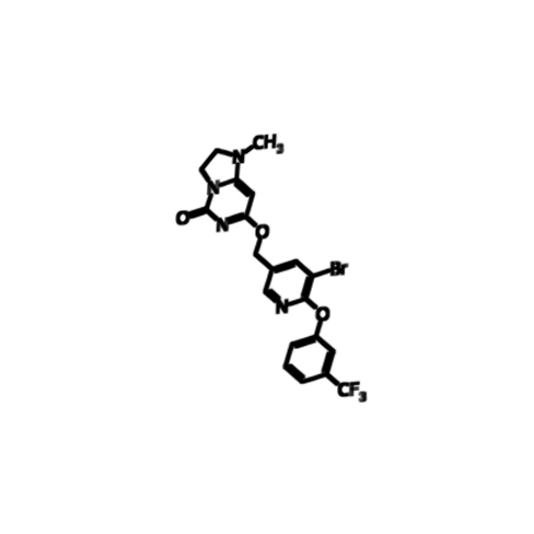 CN1CCn2c1cc(OCc1cnc(Oc3cccc(C(F)(F)F)c3)c(Br)c1)nc2=O